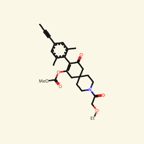 CC#Cc1cc(C)c(C2=C(OC(=O)OC)CC3(CCN(C(=O)COCC)CC3)CC2=O)c(C)c1